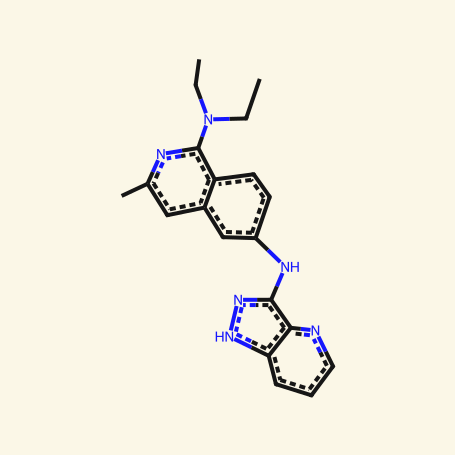 CCN(CC)c1nc(C)cc2cc(Nc3n[nH]c4cccnc34)ccc12